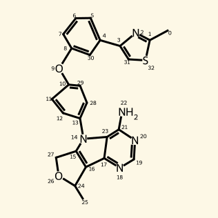 Cc1nc(-c2cccc(Oc3ccc(-n4c5c(c6ncnc(N)c64)C(C)OC5)cc3)c2)cs1